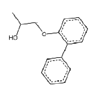 CC(O)[CH]Oc1ccccc1-c1ccccc1